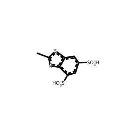 Cc1nc2c(S(=O)(=O)O)cc(S(=O)(=O)O)cc2s1